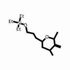 C=C1C(C)CC(CCCO[Si](CC)(CC)CC)OC1C